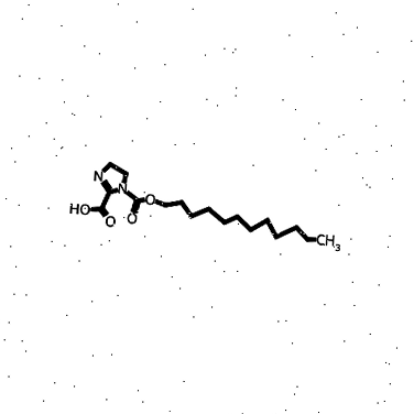 CCCCCCCCCCCCOC(=O)N1CCN=C1C(=O)O